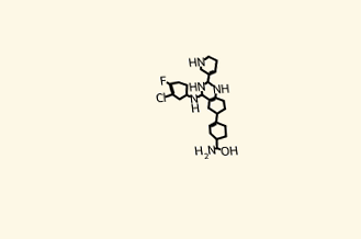 NC(O)C1CC=C(C2CCC3=C(C2)C(NC2CCC(F)=C(Cl)C2)NC(C2=CCCNC2)N3)CC1